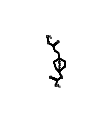 COC(=O)CCC12CCC(OC(C)=O)(CC1)CC2